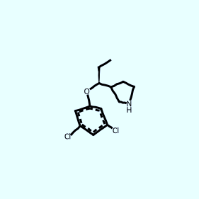 CC[C@H](Oc1cc(Cl)cc(Cl)c1)C1CCNC1